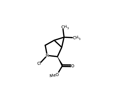 COC(=O)[C@@H]1C2C(CN1Cl)C2(C)C